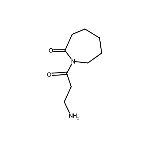 NCCC(=O)N1CCCCCC1=O